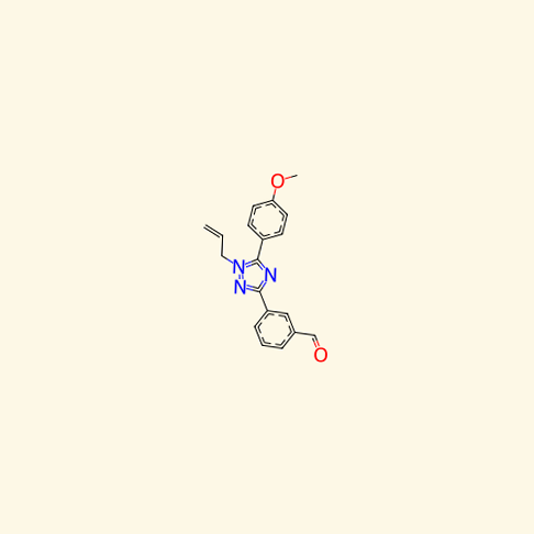 C=CCn1nc(-c2cccc(C=O)c2)nc1-c1ccc(OC)cc1